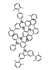 Cc1cccc(C)c1-c1ccc(N2c3ccc(-c4c(C)cccc4C)cc3B3c4cc5c(cc4N(c4c(-c6ccccc6)cccc4-c4ccccc4)c4cc(-c6c(C)cccc6C)cc2c43)Oc2cc(-n3c4ccc(-c6c(C)cccc6C)cc4c4cc(-c6c(C)cccc6C)ccc43)cc3c2B5c2ccccc2N3c2ccccc2)cc1